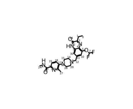 CCc1nc2c(OC(F)F)cc(CN3CCN(c4ccc(C(=O)NC)nc4C)CC3)cc2[nH]c1=O